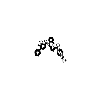 COc1c(C(=O)N2Cc3ccc(C(=O)N4CCN(CCN(C)C)CC4)n3Cc3ccccc32)ccc(-c2ccccc2)c1C